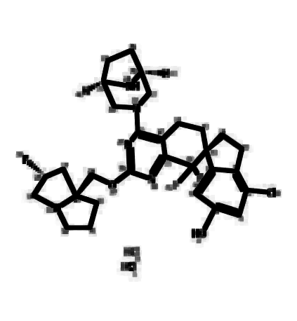 Cl.Cl.Oc1cc(Cl)c2c(c1)[C@@]1(CC2)CCc2c(N3C[C@H]4CC[C@@H](C3)N4)nc(OC[C@@]34CCCN3C[C@H](F)C4)nc2C1(F)F